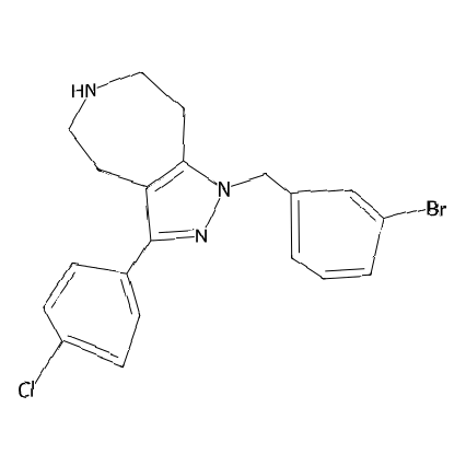 Clc1ccc(-c2nn(Cc3cccc(Br)c3)c3c2CCNCC3)cc1